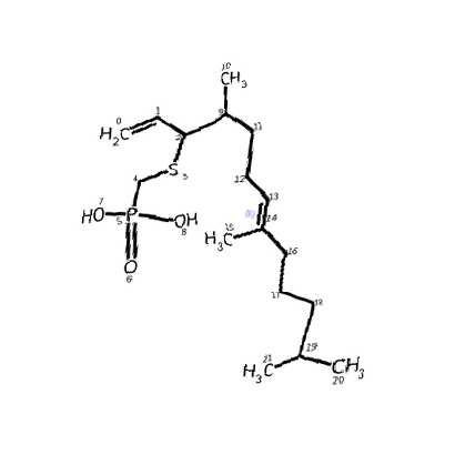 C=CC(SCP(=O)(O)O)C(C)CC/C=C(\C)CCCC(C)C